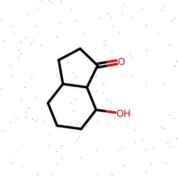 O=C1CCC2CCCC(O)C12